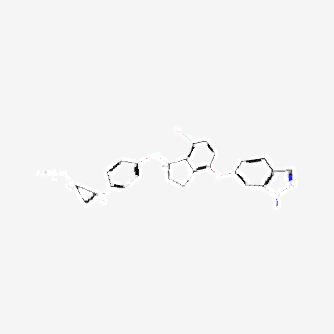 Cn1ncc2ccc(Oc3ccc(F)c4c3CC[C@H]4Oc3ccc([C@H]4C[C@@H]4C(=O)O)cc3)cc21